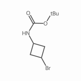 CC(C)(C)OC(=O)NC1CC(Br)C1